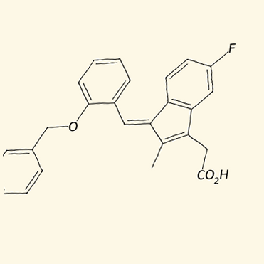 CC1=C(CC(=O)O)c2cc(F)ccc2/C1=C\c1ccccc1OCc1ccccc1